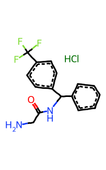 Cl.NCC(=O)NC(c1ccccc1)c1ccc(C(F)(F)F)cc1